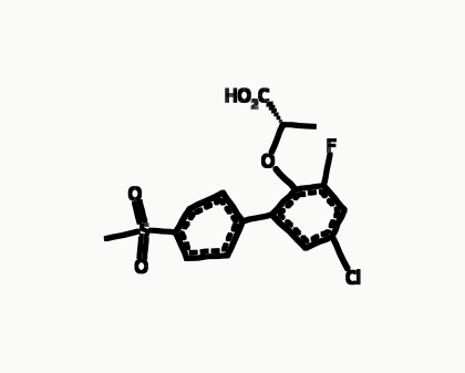 C[C@H](Oc1c(F)cc(Cl)cc1-c1ccc(S(C)(=O)=O)cc1)C(=O)O